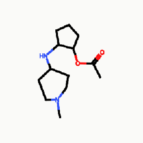 CC(=O)OC1CCCC1NC1CCN(C)CC1